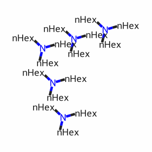 CCCCCCN(CCCCCC)CCCCCC.CCCCCCN(CCCCCC)CCCCCC.CCCCCCN(CCCCCC)CCCCCC.CCCCCCN(CCCCCC)CCCCCC.CCCCCCN(CCCCCC)CCCCCC